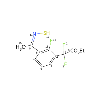 CCOC(=O)C(F)(F)c1cccc(/C(C)=N\S)c1F